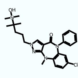 CN1c2ccc(Cl)cc2N(c2ccccc2)C(=O)c2cn(CCCC(C)(C)[Si](C)(C)O)nc21